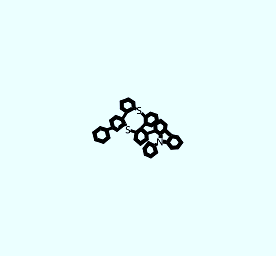 c1ccc(-c2ccc3c(c2)Sc2cccc(-c4cccc5c6ccccc6n(-c6ccccc6)c45)c2-c2ccccc2Sc2ccccc2-3)cc1